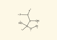 CCOC(C)(O)C(O)C(F)F